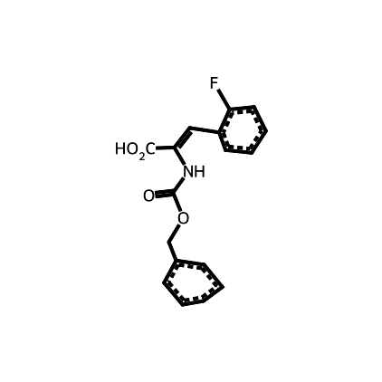 O=C(N/C(=C\c1ccccc1F)C(=O)O)OCc1ccccc1